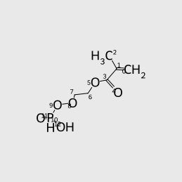 C=C(C)C(=O)OCCOO[PH](=O)O